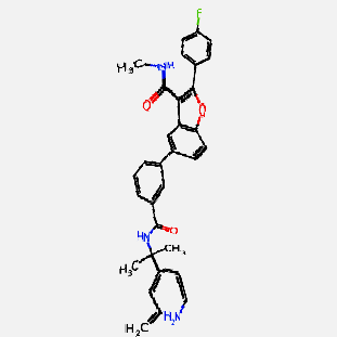 C=C/C=C(\C=C/N)C(C)(C)NC(=O)c1cccc(-c2ccc3oc(-c4ccc(F)cc4)c(C(=O)NC)c3c2)c1